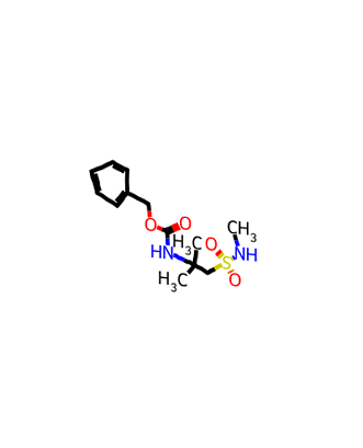 CNS(=O)(=O)CC(C)(C)NC(=O)OCc1ccccc1